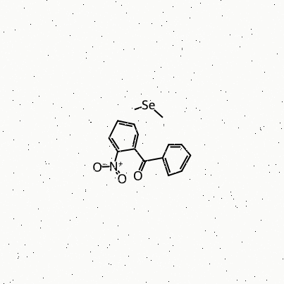 C[Se]C.O=C(c1ccccc1)c1ccccc1[N+](=O)[O-]